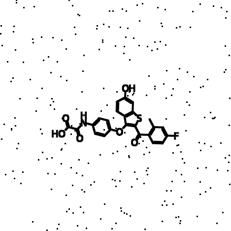 Cc1cc(F)ccc1C(=O)c1sc2cc(O)ccc2c1Oc1ccc(NC(=O)C(=O)O)cc1